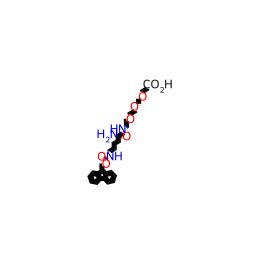 N[C@@H](CCCCNC(=O)OCC1c2ccccc2-c2ccccc21)C(=O)NCCOCCOCCOCCC(=O)O